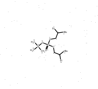 CCCCC(CC)COP(=O)(OCC(CC)CCCC)O[Si](C)(C)C